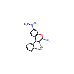 COc1ccccc1C1C(C#N)=C(N)Oc2cc(N(C)C)ccc21